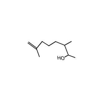 C=C(C)CCCC(C)C(C)O